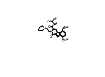 CCCC(CC)NC(=O)c1cn2c(cc3c(OC)ccc(OC)c32)c(=O)n1CCN1CCCC1